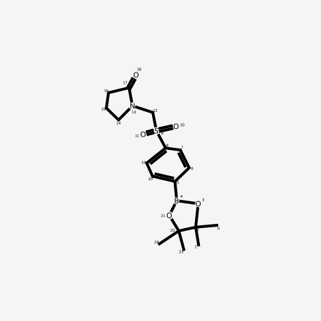 CC1(C)OB(c2ccc(S(=O)(=O)CN3CCCC3=O)cc2)OC1(C)C